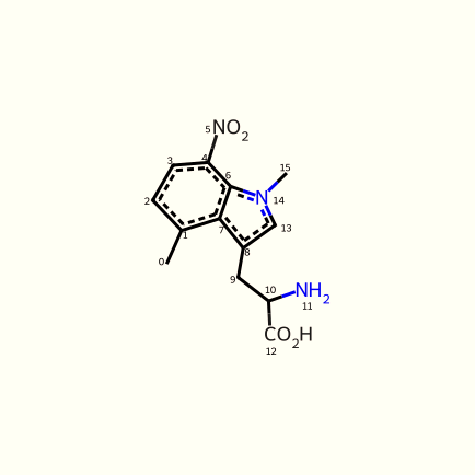 Cc1ccc([N+](=O)[O-])c2c1c(CC(N)C(=O)O)cn2C